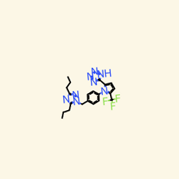 CCCc1nc(CCC)n(Cc2ccc(-n3c(-c4nnn[nH]4)ccc3C(F)(F)F)cc2)n1